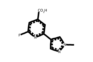 Cn1cc(-c2cc(C(=O)O)cc(F)n2)cn1